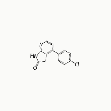 O=C1Cc2c(-c3ccc(Cl)cc3)ccnc2N1